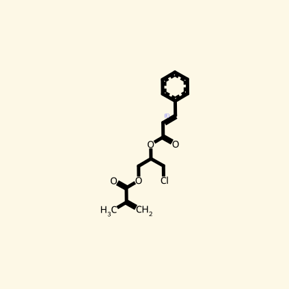 C=C(C)C(=O)OCC(CCl)OC(=O)/C=C/c1ccccc1